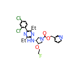 CCc1nc(-c2ccc(Cl)cc2Cl)c(CC)nc1N[C@@H]1CN(C(=O)OCc2cccnc2)C[C@@H]1OCCF